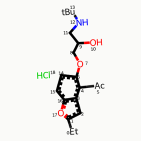 CCc1cc2c(C(C)=O)c(OCC(O)CNC(C)(C)C)ccc2o1.Cl